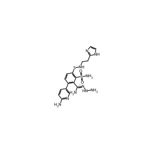 NN/N=C(\N)c1c(-c2ccc(N)nc2)ccc(SNCCc2ncc[nH]2)c1S(N)(=O)=O